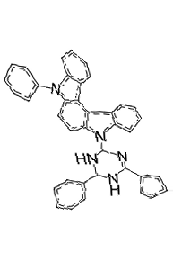 c1ccc(C2=NC(n3c4ccccc4c4c5c6ccccc6n(-c6ccccc6)c5ccc43)NC(c3ccccc3)N2)cc1